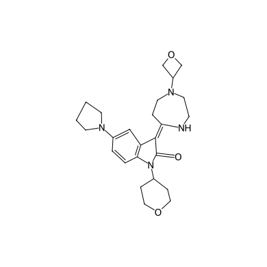 O=C1/C(=C2/CCN(C3COC3)CCN2)c2cc(N3CCCC3)ccc2N1C1CCOCC1